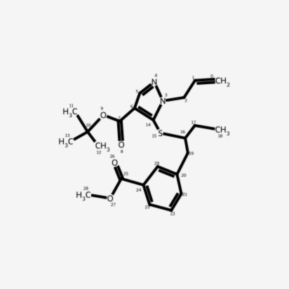 C=CCn1ncc(C(=O)OC(C)(C)C)c1SC(CC)Cc1cccc(C(=O)OC)c1